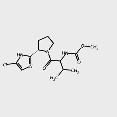 COC(=O)NC(C(=O)N1CCC[C@H]1c1ncc(Cl)[nH]1)C(C)C